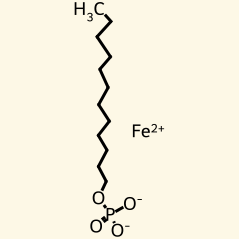 CCCCCCCCCCCCOP(=O)([O-])[O-].[Fe+2]